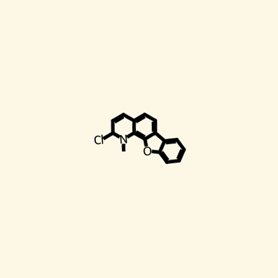 CN1c2c(ccc3c2oc2ccccc23)C=CC1Cl